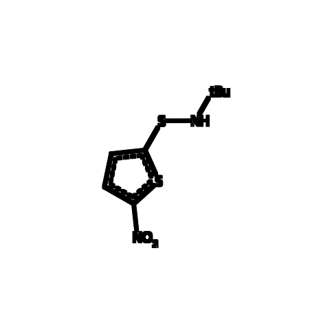 CC(C)(C)NSc1ccc([N+](=O)[O-])s1